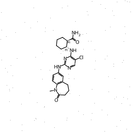 CN1C(=O)CCCc2cc(Nc3ncc(Cl)c(N[C@@H]4CCCC[C@H]4C(N)=O)n3)ccc21